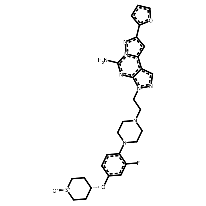 Nc1nc2c(cnn2CCN2CCN(c3ccc(O[C@H]4CC[S@+]([O-])CC4)cc3F)CC2)c2cc(-c3ccco3)nn12